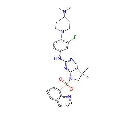 CN(C)C1CCN(c2ccc(Nc3ncc4c(n3)N(S(=O)(=O)c3cccc5cccnc35)CC4(C)C)cc2F)CC1